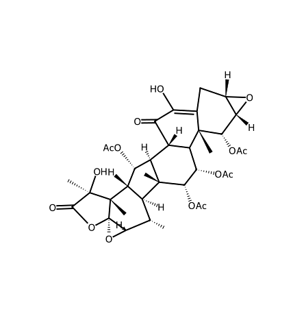 CC(=O)O[C@@H]1[C@H]2[C@@H]3C(=O)C(O)=C4C[C@@H]5O[C@@H]5[C@H](OC(C)=O)[C@]4(C)C3[C@H](OC(C)=O)[C@H](OC(C)=O)[C@]2(C)[C@H]2[C@H](C)[C@@H]3O[C@@]34OC(=O)[C@@](C)(O)[C@]4(C)[C@H]12